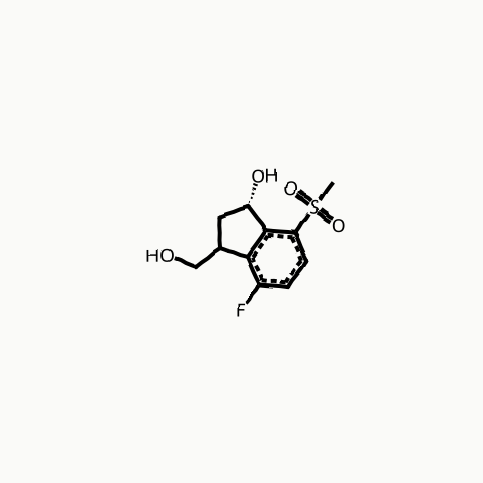 CS(=O)(=O)c1ccc(F)c2c1[C@@H](O)CC2CO